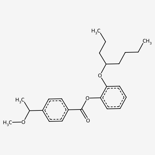 CCCCC(CCC)Oc1ccccc1OC(=O)c1ccc(C(C)OC)cc1